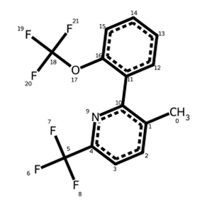 Cc1ccc(C(F)(F)F)nc1-c1ccccc1OC(F)(F)F